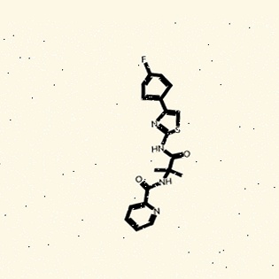 CC(C)(NC(=O)c1ccccn1)C(=O)Nc1nc(-c2ccc(F)cc2)cs1